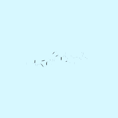 CC(=O)Nc1ccc(S(=O)(=O)Nc2ccsc2C(=O)N[C@@H](CCCNC(N)N)C(=O)O)cc1